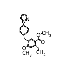 C=Cc1cc(OC)c(Cc2ccc(-n3cccn3)cc2)cc1C(=O)OC